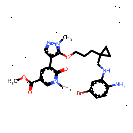 COC(=O)c1cc(-c2cnn(C)c2OCCCC2(CNc3cc(Br)ccc3N)CC2)c(=O)n(C)c1